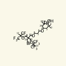 CC1(C)CC(OCCCOCC(CBr)(COC(C)(C(F)(F)F)C(F)(F)F)COC(C)(C(F)(F)F)C(F)(F)F)CC(C)(C)N1O